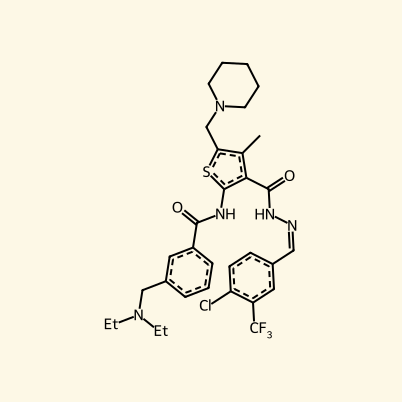 CCN(CC)Cc1cccc(C(=O)Nc2sc(CN3CCCCC3)c(C)c2C(=O)N/N=C\c2ccc(Cl)c(C(F)(F)F)c2)c1